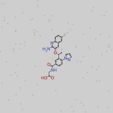 C[C@H](Oc1cc2cc(F)ccc2nc1N)c1cc(C(=O)NCC(=O)O)ccc1-n1cccn1